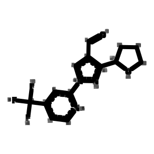 O=Cc1cn(-c2cc(C(F)(F)F)ccn2)nc1C1CCCO1